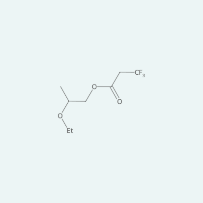 CCOC(C)COC(=O)CC(F)(F)F